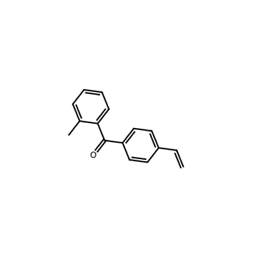 C=Cc1ccc(C(=O)c2ccccc2C)cc1